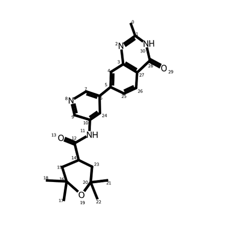 Cc1nc2cc(-c3cncc(NC(=O)C4CC(C)(C)OC(C)(C)C4)c3)ccc2c(=O)[nH]1